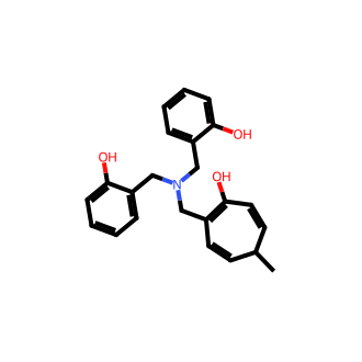 CC1C=CC(O)=C(CN(Cc2ccccc2O)Cc2ccccc2O)C=C1